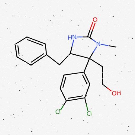 CN1C(=O)NC(Cc2ccccc2)C1(CCO)c1ccc(Cl)c(Cl)c1